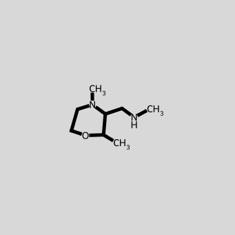 CNCC1C(C)OCCN1C